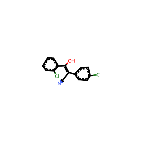 N#CC(=C(O)c1ccccc1Cl)c1ccc(Cl)cc1